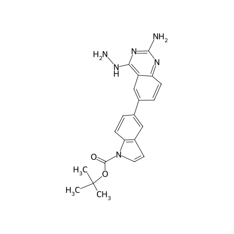 CC(C)(C)OC(=O)n1ccc2cc(-c3ccc4nc(N)nc(NN)c4c3)ccc21